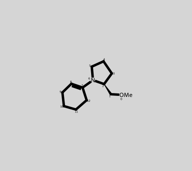 COC[C@@H]1CCCN1C1=CCCCC1